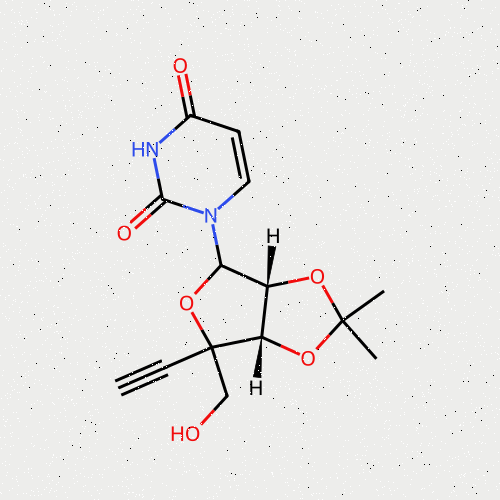 C#CC1(CO)OC(n2ccc(=O)[nH]c2=O)[C@@H]2OC(C)(C)O[C@@H]21